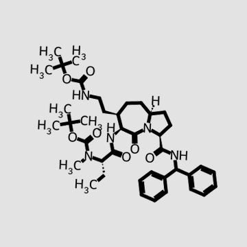 CC[C@@H](C(=O)N[C@@H]1C(=O)N2[C@@H](CC[C@@H]1CCNC(=O)OC(C)(C)C)CC[C@H]2C(=O)NC(c1ccccc1)c1ccccc1)N(C)C(=O)OC(C)(C)C